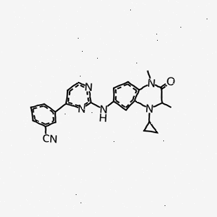 CC1C(=O)N(C)c2ccc(Nc3nccc(-c4cccc(C#N)c4)n3)cc2N1C1CC1